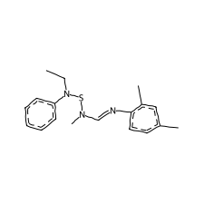 CCN(SN(C)C=Nc1ccc(C)cc1C)c1ccccc1